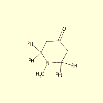 [2H]C1([2H])CC(=O)CC([2H])([2H])N1C